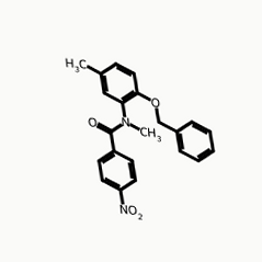 Cc1ccc(OCc2ccccc2)c(N(C)C(=O)c2ccc([N+](=O)[O-])cc2)c1